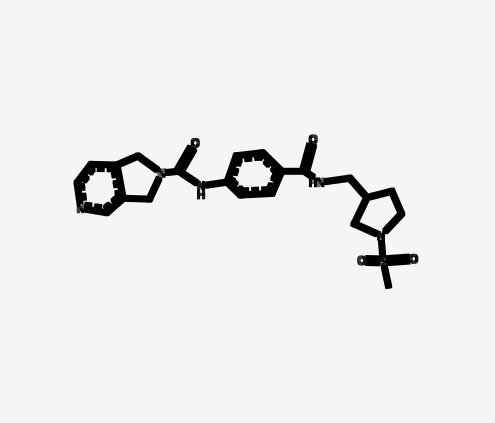 CS(=O)(=O)N1CCC(CNC(=O)c2ccc(NC(=O)N3Cc4ccncc4C3)cc2)C1